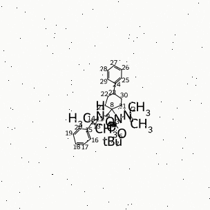 CN(C)N(C(=O)OC(C)(C)C)C1(C(=O)NC(C)(C)c2ccccc2)CCC(c2ccccc2)CC1